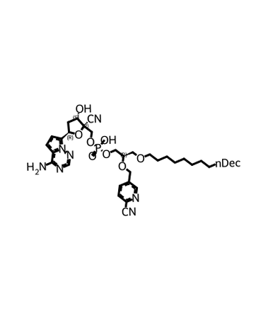 CCCCCCCCCCCCCCCCCCOC[C@H](COP(=O)(O)OC[C@@]1(C#N)O[C@@H](c2ccc3c(N)ncnn23)C[C@@H]1O)OCc1ccc(C#N)nc1